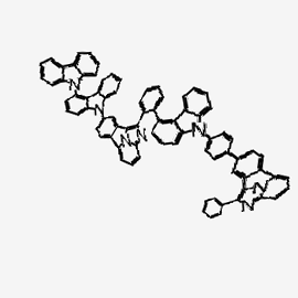 c1ccc(-c2nc3cccc4c5ccc(-c6ccc(-n7c8ccccc8c8c(-c9ccccc9-c9nc%10cccc%11c%12ccc(-n%13c%14ccccc%14c%14c(-n%15c%16ccccc%16c%16ccccc%16%15)cccc%14%13)cc%12c9n%10%11)cccc87)cc6)cc5c2n34)cc1